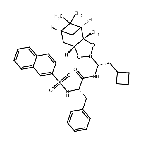 CC1(C)[C@@H]2C[C@H]3OB([C@H](CC4CCC4)NC(=O)[C@H](Cc4ccccc4)NS(=O)(=O)c4ccc5ccccc5c4)O[C@@]3(C)[C@H]1C2